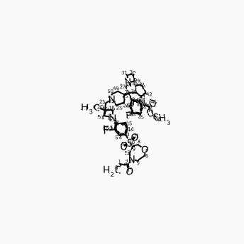 C=CC(=O)N1CCOC[C@@H](S(=O)(=O)c2ccc(N3CC(C)(CN4CCC([C@@](CN5CCC5)(c5cccc(F)c5)[C@H]5CCC[C@@H]5NC(=O)OC)CC4)C3)c(F)c2)C1